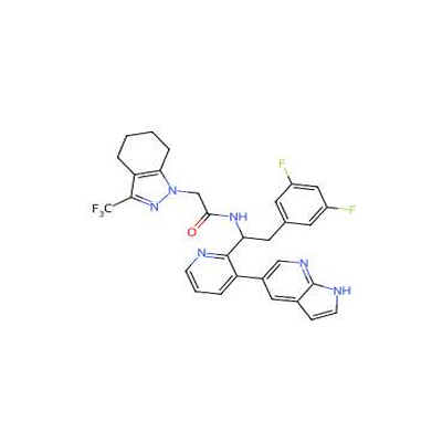 O=C(Cn1nc(C(F)(F)F)c2c1CCCC2)NC(Cc1cc(F)cc(F)c1)c1ncccc1-c1cnc2[nH]ccc2c1